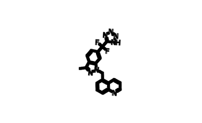 Cc1nn(Cc2cccc3ncccc23)c2cc(C(F)(F)c3nnn[nH]3)ccc12